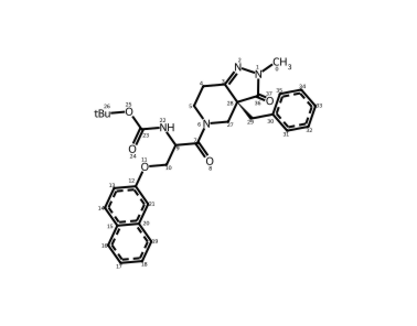 CN1N=C2CCN(C(=O)C(COc3ccc4ccccc4c3)NC(=O)OC(C)(C)C)C[C@@]2(Cc2ccccc2)C1=O